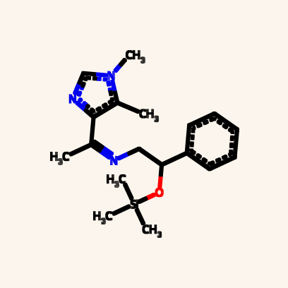 CC(=NCC(O[Si](C)(C)C)c1ccccc1)c1ncn(C)c1C